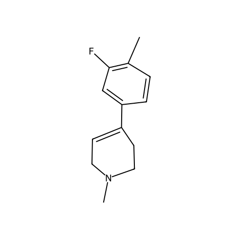 Cc1ccc(C2=CCN(C)CC2)cc1F